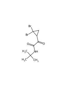 CC(C)(C)NC(=O)C(=O)C1CC1(Br)Br